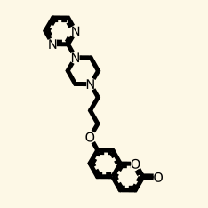 O=c1ccc2ccc(OCCCN3CCN(c4ncccn4)CC3)cc2o1